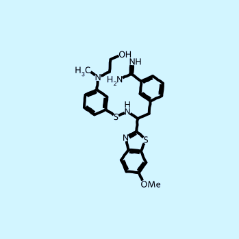 COc1ccc2nc(C(Cc3cccc(C(=N)N)c3)NSc3cccc(N(C)CCO)c3)sc2c1